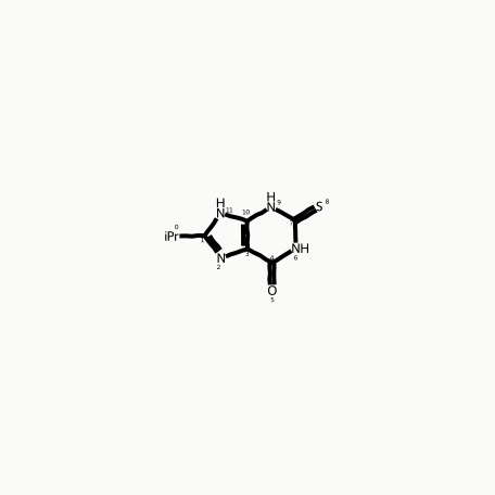 CC(C)c1nc2c(=O)[nH]c(=S)[nH]c2[nH]1